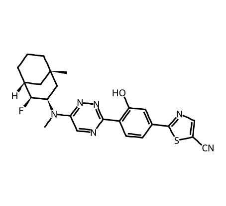 CN(c1cnc(-c2ccc(-c3ncc(C#N)s3)cc2O)nn1)[C@@H]1C[C@@]2(C)CCC[C@H](C2)[C@@H]1F